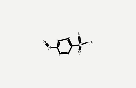 CS(=O)(=O)c1ccc(N=[N])cc1